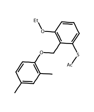 CCOc1cccc(SC(C)=O)c1COc1ccc(C)cc1C